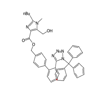 CCCCc1nc(C(=O)OCc2ccc(-c3ccccc3-c3nnnn3C(c3ccccc3)(c3ccccc3)c3ccccc3)cc2)c(CO)n1C